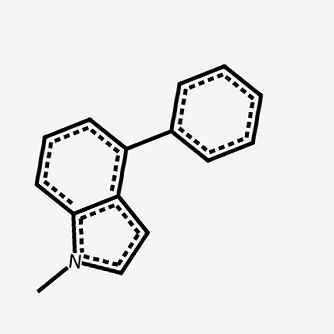 Cn1ccc2c(-c3ccccc3)cccc21